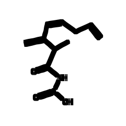 C=CC/C=C\C(=C)C(C)C(=O)NS(=O)O